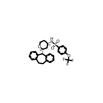 O=S(=O)(N[C@H]1CCO[C@@H](C2c3ccccc3CCc3ccccc32)C1)c1ccc(OC(F)(F)F)cc1